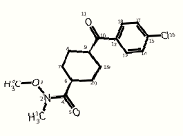 CON(C)C(=O)[C@H]1CC[C@@H](C(=O)c2ccc(Cl)cc2)CC1